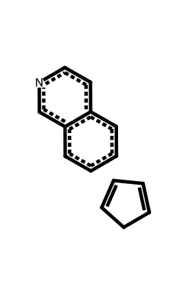 C1=CCC=C1.c1ccc2cnccc2c1